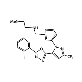 CNCCNCc1cccc(-n2nc(C(F)(F)F)cc2-c2nnc(-c3ccccc3C)o2)c1